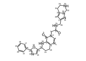 O=C(Cn1cnc2c(c1=O)NC(c1cnc(-c3ccccc3)o1)CC2)NCc1cc2n(n1)CNCC2